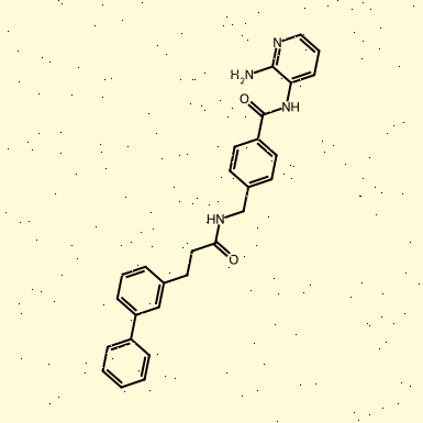 Nc1ncccc1NC(=O)c1ccc(CNC(=O)CCc2cccc(-c3ccccc3)c2)cc1